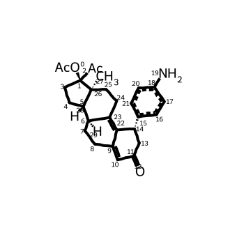 CC(=O)O[C@]1(C(C)=O)CC[C@H]2[C@@H]3CCC4=CC(=O)C[C@@H](c5ccc(N)cc5)C4=C3CC[C@@]21C